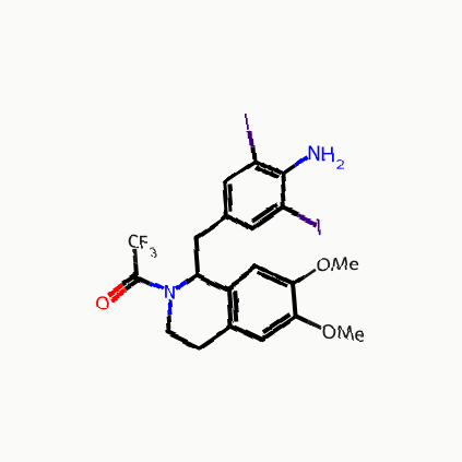 COc1cc2c(cc1OC)C(Cc1cc(I)c(N)c(I)c1)N(C(=O)C(F)(F)F)CC2